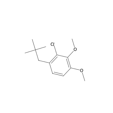 COc1ccc(CC(C)(C)C)c(Cl)c1OC